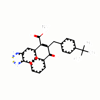 CC(C)(C)c1ccc(C/C(C(=O)c2ccccc2)=C(\C(=O)[O-])c2ccc3nsnc3c2)cc1.[Na+]